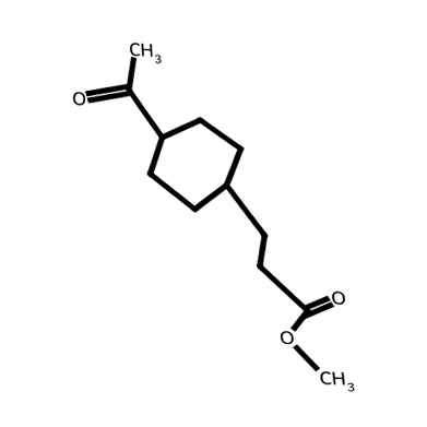 COC(=O)CCC1CCC(C(C)=O)CC1